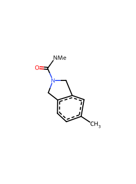 CNC(=O)N1Cc2ccc(C)cc2C1